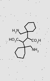 NCC1(C(C(=O)O)C(C(=O)O)C2(CN)CCCCC2)CCCCC1